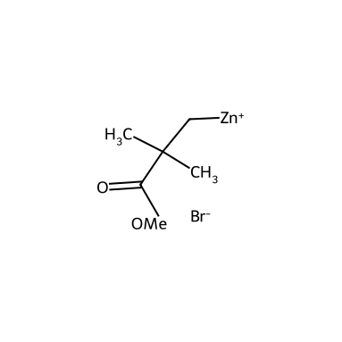 COC(=O)C(C)(C)[CH2][Zn+].[Br-]